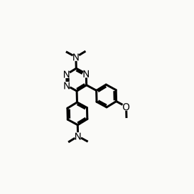 COc1ccc(-c2nc(N(C)C)nnc2-c2ccc(N(C)C)cc2)cc1